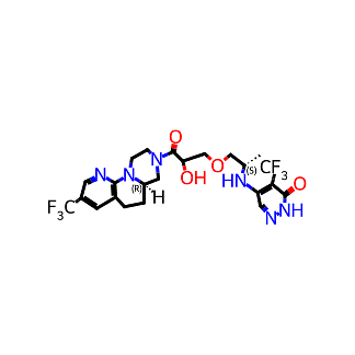 C[C@@H](COCC(O)C(=O)N1CCN2c3ncc(C(F)(F)F)cc3CC[C@@H]2C1)Nc1cn[nH]c(=O)c1C(F)(F)F